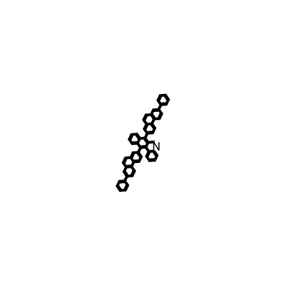 c1ccc(-c2ccc3c(ccc4cc(-c5c6ccccc6c(-c6ccc7c(ccc8cc(-c9ccccc9)ccc87)c6)c6c5cnc5ccccc56)ccc43)c2)cc1